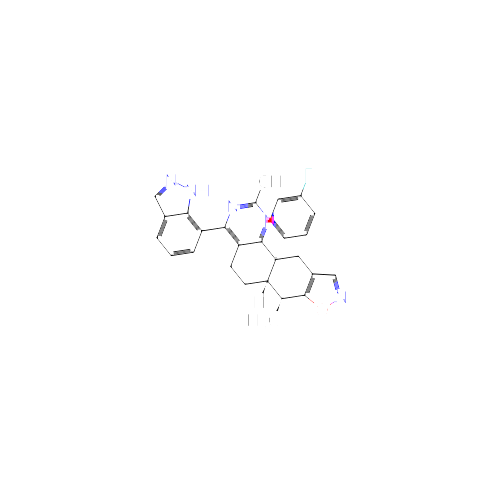 Cc1nc(-c2cccc3cn[nH]c23)c2c(n1)[C@@]1(c3ccc(F)cc3)Cc3cnoc3[C@@H](C)[C@@H]1CC2